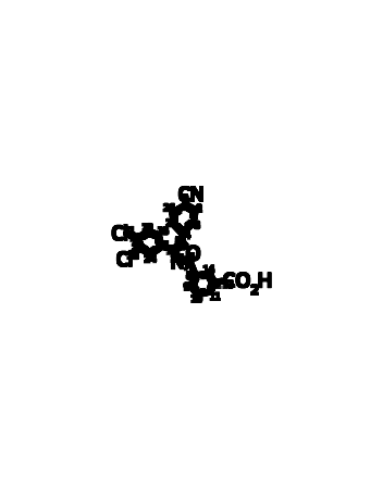 N#Cc1ccc(-c2oc(-c3cccc(C(=O)O)c3)nc2-c2ccc(Cl)c(Cl)c2)cc1